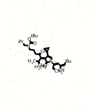 C=C/C(=C\C(C#N)=C/C(C)CC)N1C=C(C2CC2)C(=C(/C(=C)C)C(=C)CCCN(CC(C)C)C(=O)OC(C)(C)C)/C1=N\C